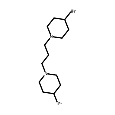 CC(C)C1CCN(CCCN2CCC(C(C)C)CC2)CC1